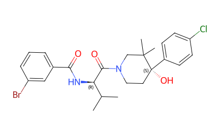 CC(C)[C@@H](NC(=O)c1cccc(Br)c1)C(=O)N1CC[C@](O)(c2ccc(Cl)cc2)C(C)(C)C1